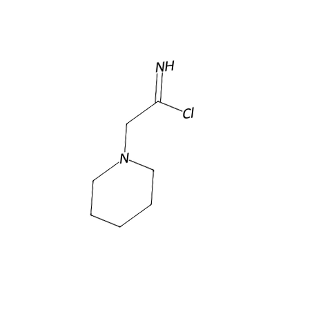 N=C(Cl)CN1CCCCC1